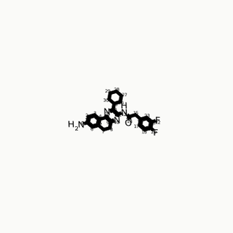 Nc1ccc2c(c1)CCc1nc(NC(=O)Cc3ccc(F)c(F)c3)c(C3CCCCC3)nc1-2